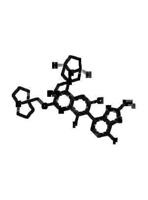 CC(C)CCN1[C@@H]2CC[C@H]1CN(c1nc(OCC34CCCN3CCC4)nc3c(F)c(-c4ccc(F)c5sc(N)nc45)c(Cl)cc13)C2